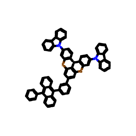 c1ccc(-c2c3ccccc3c(-c3cccc(-c4cc5c6c(c4)Sc4cc(-n7c8ccccc8c8ccccc87)ccc4B6c4ccc(-n6c7ccccc7c7ccccc76)cc4S5)c3)c3ccccc23)cc1